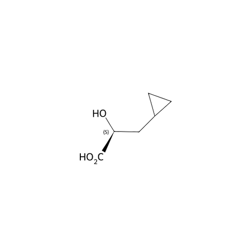 O=C(O)[C@@H](O)CC1CC1